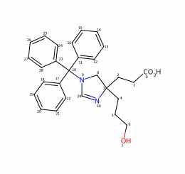 O=C(O)CCC1(CCCO)CN(C(c2ccccc2)(c2ccccc2)c2ccccc2)C=N1